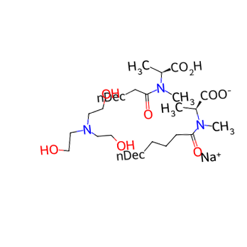 CCCCCCCCCCCC(=O)N(C)[C@@H](C)C(=O)O.CCCCCCCCCCCCCC(=O)N(C)[C@@H](C)C(=O)[O-].OCCN(CCO)CCO.[Na+]